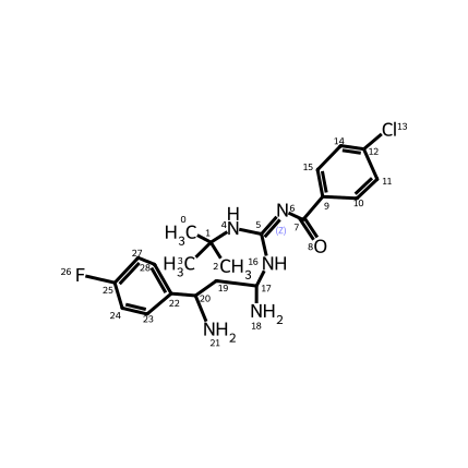 CC(C)(C)N/C(=N/C(=O)c1ccc(Cl)cc1)NC(N)CC(N)c1ccc(F)cc1